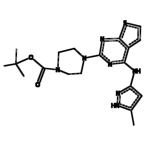 Cc1cc(Nc2nc(N3CCN(C(=O)OC(C)(C)C)CC3)nc3sccc23)n[nH]1